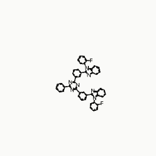 Fc1ccccc1-n1c(-c2cccc(-c3nc(-c4ccccc4)nc(-c4cccc(-c5nc6ccccc6n5-c5ccccc5F)c4)n3)c2)nc2ccccc21